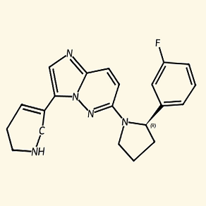 Fc1cccc([C@H]2CCCN2c2ccc3ncc(C4=CCCNC4)n3n2)c1